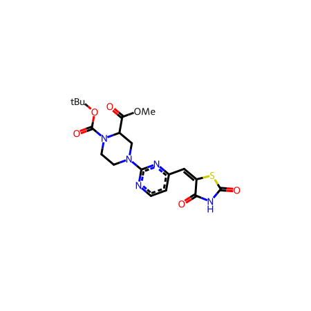 COC(=O)C1CN(c2nccc(C=C3SC(=O)NC3=O)n2)CCN1C(=O)OC(C)(C)C